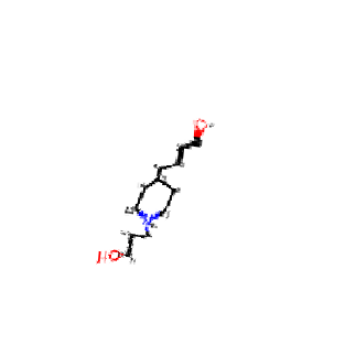 O=CCCCC1CCN(CCCO)CC1